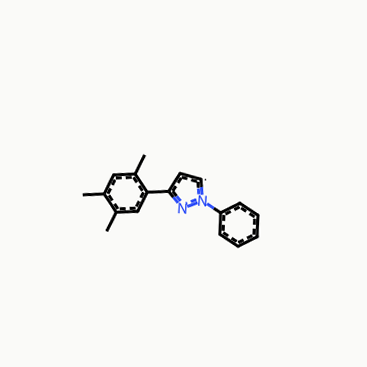 Cc1cc(C)c(-c2c[c]n(-c3ccccc3)n2)cc1C